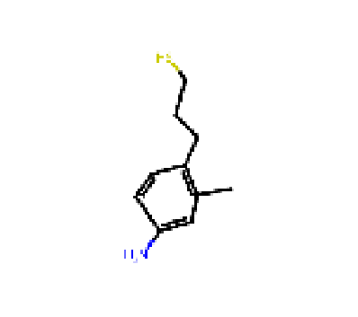 Cc1cc(N)ccc1CCCS